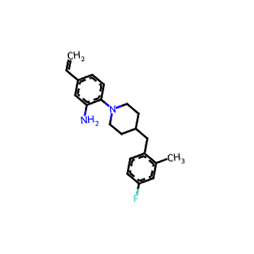 C=Cc1ccc(N2CCC(Cc3ccc(F)cc3C)CC2)c(N)c1